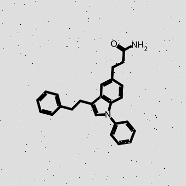 NC(=O)CCc1ccc2c(c1)c(CCc1ccccc1)cn2-c1ccccc1